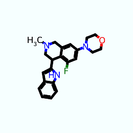 CN1Cc2cc(N3CCOCC3)cc(F)c2C(c2cc3ccccc3[nH]2)C1